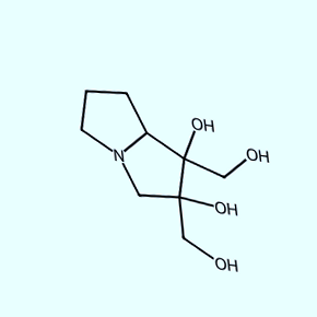 OCC1(O)CN2CCCC2C1(O)CO